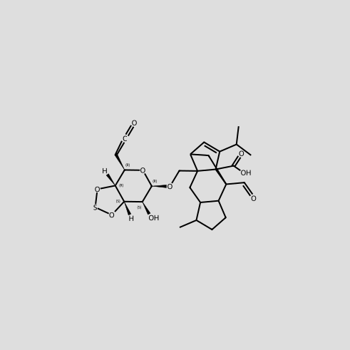 CC(C)C1=CC2CC3(C=O)C4CCC(C)C4CC2(CO[C@@H]2O[C@H](C=C=O)[C@H]4OSO[C@H]4[C@@H]2O)C13C(=O)O